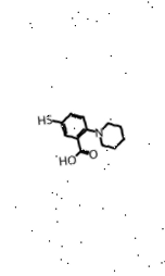 O=C(O)c1cc(S)ccc1N1CCCCC1